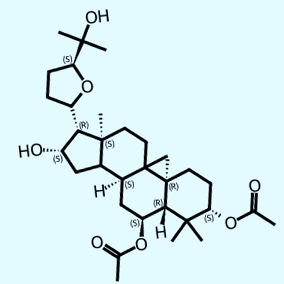 CC(=O)O[C@H]1C[C@H]2C3C[C@H](O)[C@H](C4CC[C@@H](C(C)(C)O)O4)[C@@]3(C)CCC23C[C@@]32CC[C@H](OC(C)=O)C(C)(C)[C@H]12